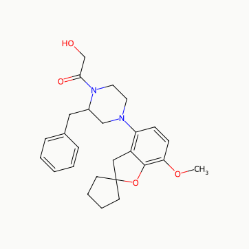 COc1ccc(N2CCN(C(=O)CO)C(Cc3ccccc3)C2)c2c1OC1(CCCC1)C2